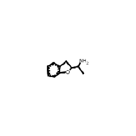 CC(N)C1Cc2ccccc2O1